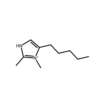 CCCCCc1c[nH]c(C)[n+]1C